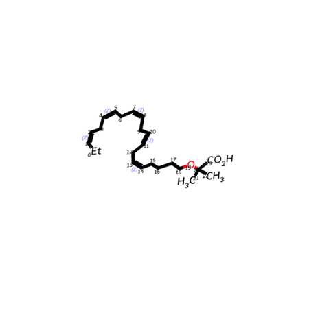 CC/C=C\C/C=C\C/C=C\C/C=C\C/C=C\CCCCOC(C)(C)C(=O)O